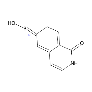 O=c1[nH]ccc2c1=CC/C(=B\O)C=2